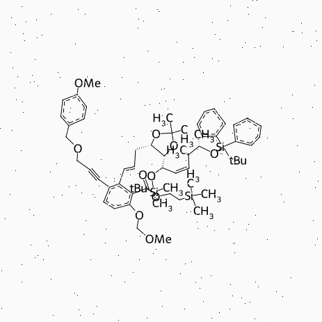 COCOc1ccc(C#CCOCc2ccc(OC)cc2)c(/C=C/C[C@@H]2OC(C)(C)O[C@@H]2C(/C=C\[C@@H](C)[C@H](C)O[Si](c2ccccc2)(c2ccccc2)C(C)(C)C)O[Si](C)(C)C(C)(C)C)c1C(=O)OCC[Si](C)(C)C